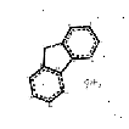 [GaH3].c1ccc2c(c1)Cc1ccccc1-2